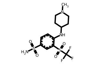 CN1CCC(Nc2ccc(S(N)(=O)=O)cc2S(=O)(=O)C(F)(F)F)CC1